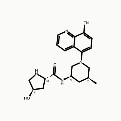 C[C@H]1C[C@@H](NC(=O)[C@@H]2C[C@@H](O)CN2)CN(c2ccc(C#N)c3ncccc23)C1